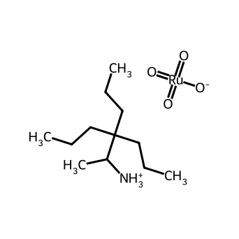 CCCC(CCC)(CCC)C(C)[NH3+].[O]=[Ru](=[O])(=[O])[O-]